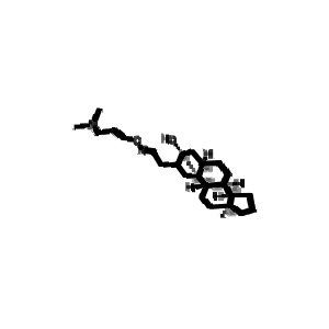 CN(C)CCCON=CCC1C[C@@]2(C)[C@H](CC[C@H]3[C@@H]4CCC[C@@]4(C)CC[C@@H]32)C[C@H]1O